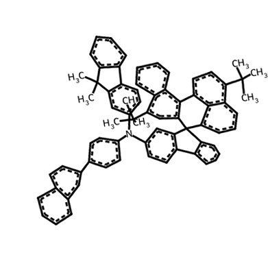 CC(C)(C)c1cc2c(c3ccccc13)-c1ccc(C(C)(C)C)c3cccc(c13)C21c2ccccc2-c2ccc(N(c3ccc(-c4ccc5ccccc5c4)cc3)c3ccc4c(c3)C(C)(C)c3ccccc3-4)cc21